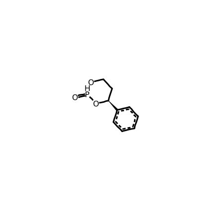 O=[PH]1OCC[C@@H](c2ccccc2)O1